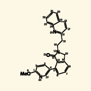 COc1ccc(-c2cccc3c2C(=O)N(CCc2ccc4ccccc4n2)C3)cn1